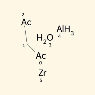 CC(=O)CC(C)=O.O.[AlH3].[Zr]